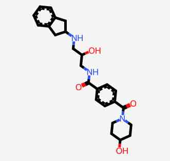 O=C(NCC(O)CNC1Cc2ccccc2C1)c1ccc(C(=O)N2CCC(O)CC2)cc1